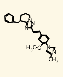 COc1cc(/C=C/c2nc3n(n2)CCC[C@@H]3Cc2ccccc2)ccc1-n1cnc(C)c1